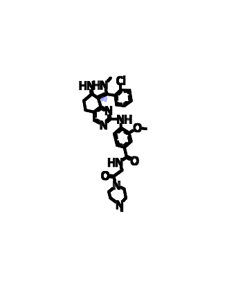 CN/C(=C1\C(=N)CCc2cnc(Nc3ccc(C(=O)NCC(=O)N4CCN(C)CC4)cc3OC)nc21)c1ccccc1Cl